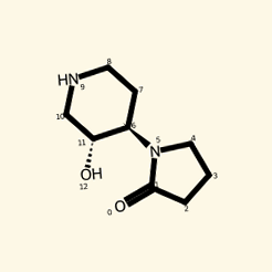 O=C1CCCN1[C@@H]1CCNC[C@H]1O